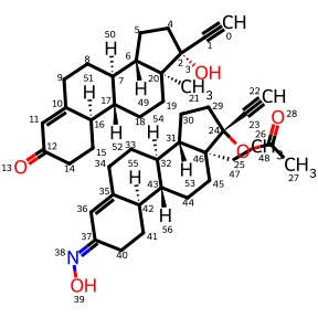 C#C[C@]1(O)CC[C@H]2[C@@H]3CCC4=CC(=O)CC[C@@H]4[C@H]3CC[C@@]21C.C#C[C@]1(OC(C)=O)CC[C@H]2[C@@H]3CCC4=C/C(=N/O)CC[C@@H]4[C@H]3CC[C@@]21CC